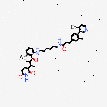 CCc1ccncc1-c1ccc(CCC(=O)NCCCCCCNc2cccc(C(C)=O)c2C(=O)C(C)C(C)C2CCC(=O)NC2=O)cc1C